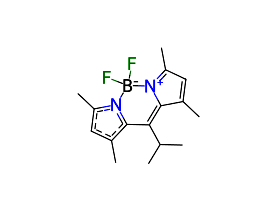 CC1=CC(C)=[N+]2C1=C(C(C)C)c1c(C)cc(C)n1[B-]2(F)F